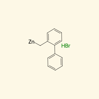 Br.[Zn][CH2]c1ccccc1-c1ccccc1